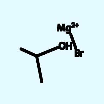 CC(C)O.[Mg+2][Br]